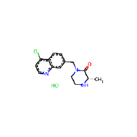 C[C@@H]1NCCN(Cc2ccc3c(Cl)ccnc3c2)C1=O.Cl